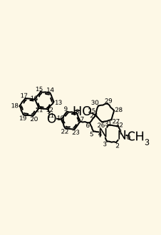 CN1CCN(CC(c2ccc(Oc3cccc4ccccc34)cc2)C2(O)CCCCC2)CC1